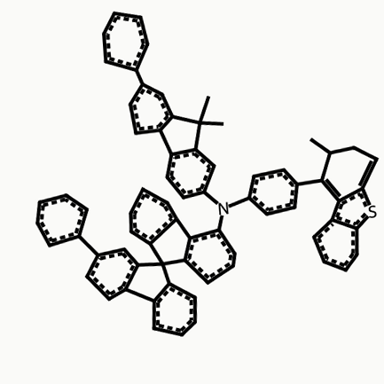 CC1CC=c2sc3ccccc3c2=C1c1ccc(N(c2ccc3c(c2)C(C)(C)c2cc(-c4ccccc4)ccc2-3)c2cccc3c2-c2ccccc2C32c3ccccc3-c3ccc(-c4ccccc4)cc32)cc1